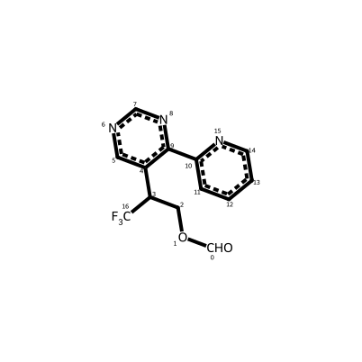 O=COCC(c1cncnc1-c1ccccn1)C(F)(F)F